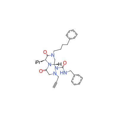 C#CCN1CC(=O)N2[C@@H](C(C)C)C(=O)N(CCCCc3ccccc3)C[C@@H]2N1C(=O)NCc1ccccc1